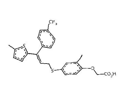 Cc1ccc(C(=CCSc2ccc(OCC(=O)O)c(C)c2)c2ccc(C(F)(F)F)cc2)s1